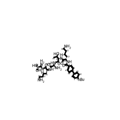 CCCCc1ccc(-c2ccc(C(=O)N[C@@H](CCCCN)C(=O)N[C@H](C(=O)N[C@@H](N)C(=O)N[C@@H](CCCCN)C(=O)N[C@@H](N)B(O)O)C(C)O)cc2)cc1